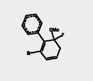 COC1(F)CC=CC(Br)=C1c1ccccc1